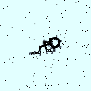 CCCCCC(COCCC)(C(=O)O)c1ccccc1